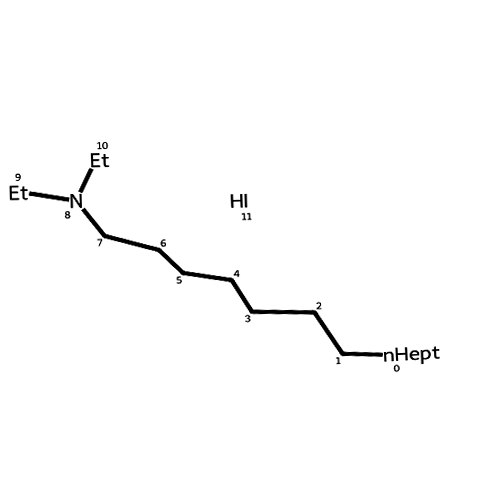 CCCCCCCCCCCCCCN(CC)CC.I